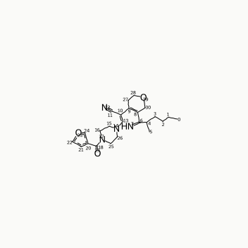 CCCCC(C)C(=N)C1=C(/C(C#N)=C/N2CCN(C(=O)c3ccoc3)CC2)CCOC1